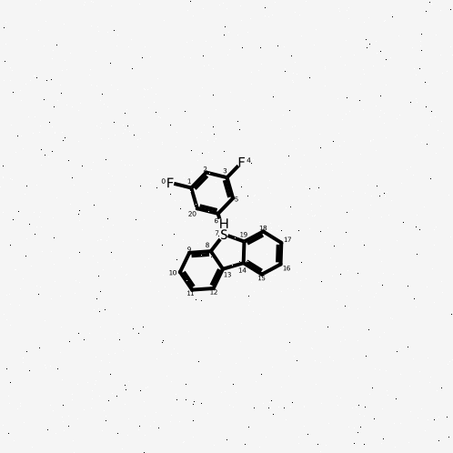 Fc1cc(F)cc([SH]2c3ccccc3-c3ccccc32)c1